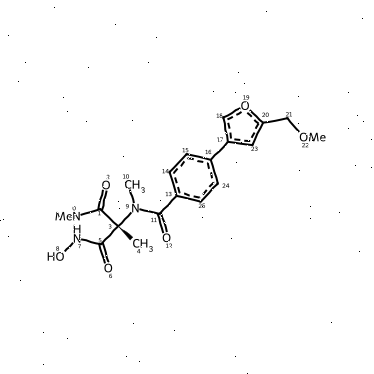 CNC(=O)[C@@](C)(C(=O)NO)N(C)C(=O)c1ccc(-c2coc(COC)c2)cc1